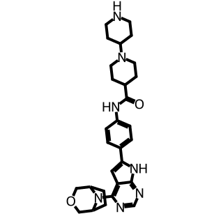 O=C(Nc1ccc(-c2cc3c(N4C5CCC4COC5)ncnc3[nH]2)cc1)C1CCN(C2CCNCC2)CC1